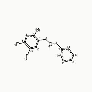 Fc1cc(Br)c(COCc2ccccc2)cc1F